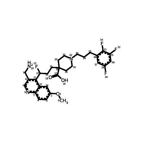 COc1ccc2ncc(CN)c(C(F)CCC3(C(=O)O)CCN(CCCc4cc(F)cc(F)c4F)CC3)c2c1